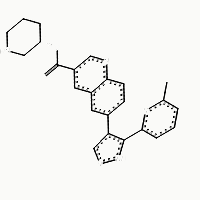 Cc1cccc(-c2[nH]ncc2-c2ccc3ncc(C(=O)O[C@H]4CCCNC4)cc3c2)n1